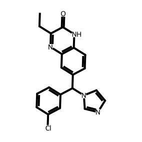 CCc1nc2cc(C(c3cccc(Cl)c3)n3ccnc3)ccc2[nH]c1=O